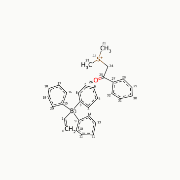 C=C[B-](c1ccccc1)(c1ccccc1)c1ccccc1.C[S+](C)CC(=O)c1ccccc1